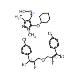 CC/C(=C(\F)COC/C(F)=C(/CC)c1ccc(Cl)cc1)c1ccc(Cl)cc1.Cc1nn(C)c(OC2CCCCC2)c1/C=N\O